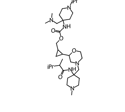 CC(C)C(C)C(=O)NC1(CN2CCOC(C3CC3COC(=O)NC3(CN(C)C)CCN(C(C)C)CC3)C2)CCN(C)CC1